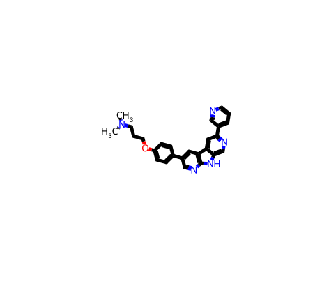 CN(C)CCCOc1ccc(-c2cnc3[nH]c4cnc(-c5cccnc5)cc4c3c2)cc1